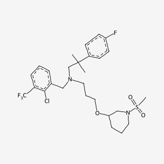 CC(C)(CN(CCCOC1CCCN(S(C)(=O)=O)C1)Cc1cccc(C(F)(F)F)c1Cl)c1ccc(F)cc1